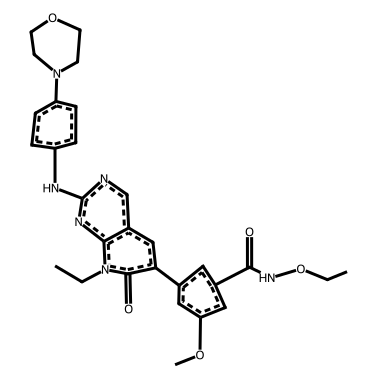 CCONC(=O)c1cc(OC)cc(-c2cc3cnc(Nc4ccc(N5CCOCC5)cc4)nc3n(CC)c2=O)c1